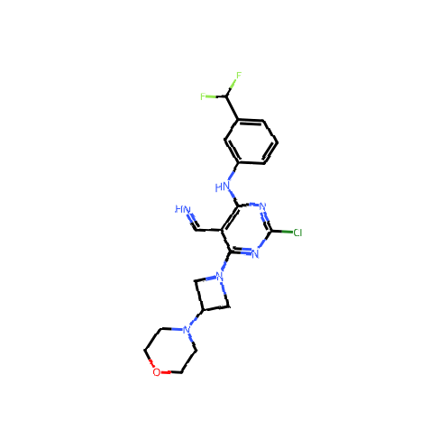 N=Cc1c(Nc2cccc(C(F)F)c2)nc(Cl)nc1N1CC(N2CCOCC2)C1